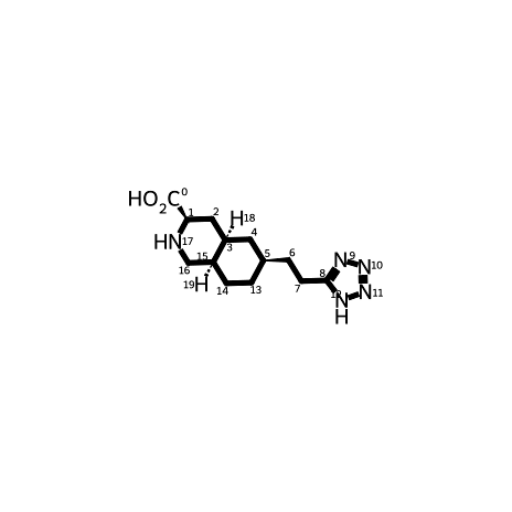 O=C(O)[C@H]1C[C@H]2C[C@@H](CCc3nnn[nH]3)CC[C@H]2CN1